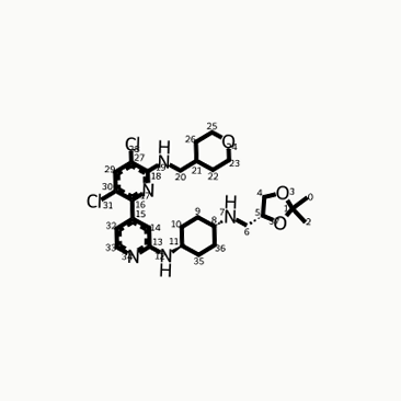 CC1(C)OC[C@@H](CN[C@H]2CC[C@H](Nc3cc(-c4nc(NCC5CCOCC5)c(Cl)cc4Cl)ccn3)CC2)O1